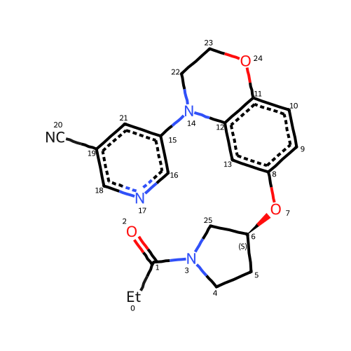 CCC(=O)N1CC[C@H](Oc2ccc3c(c2)N(c2cncc(C#N)c2)CCO3)C1